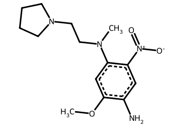 COc1cc(N(C)CCN2CCCC2)c([N+](=O)[O-])cc1N